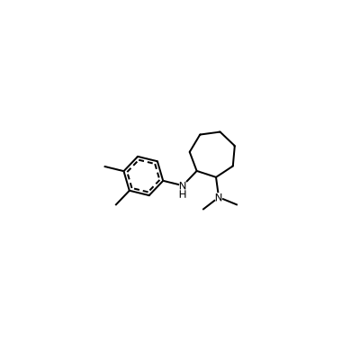 Cc1ccc(NC2CCCCCC2N(C)C)cc1C